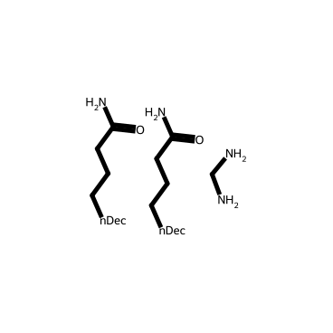 CCCCCCCCCCCCCC(N)=O.CCCCCCCCCCCCCC(N)=O.NCN